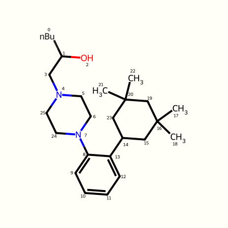 CCCCC(O)CN1CCN(c2ccccc2C2CC(C)(C)CC(C)(C)C2)CC1